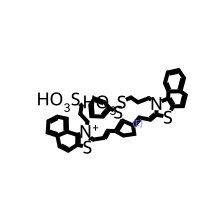 O=S(=O)(O)CCCN1C(=C/C=C2\CCC(C=Cc3sc4ccc5ccccc5c4[n+]3CCCS(=O)(=O)O)=C2Sc2ccccc2)Sc2ccc3ccccc3c21